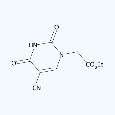 CCOC(=O)Cn1cc(C#N)c(=O)[nH]c1=O